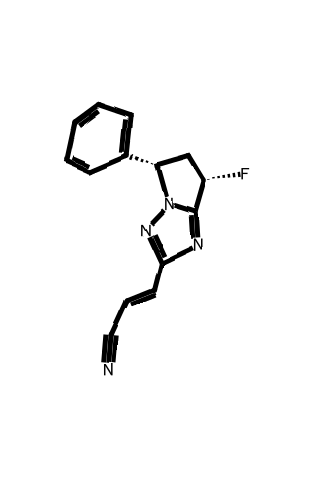 N#CC=Cc1nc2n(n1)[C@H](c1ccccc1)C[C@@H]2F